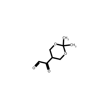 CC1(C)OCC(C(=O)C=O)CO1